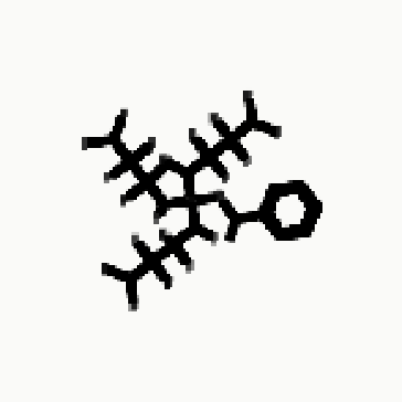 CC([O][Sn]([CH](F)C(F)(F)C(F)(F)C(F)F)([CH](F)C(F)(F)C(F)(F)C(F)F)[CH](F)C(F)(F)C(F)(F)C(F)F)c1ccccc1